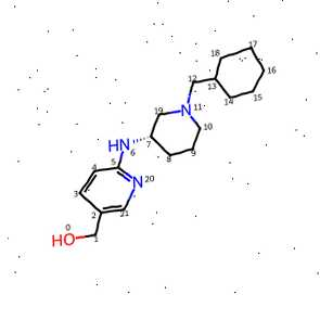 OCc1ccc(N[C@H]2CCCN(CC3CCCCC3)C2)nc1